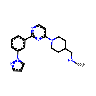 O=C(O)NCC1CCN(c2ccnc(-c3cccc(-n4cccn4)c3)n2)CC1